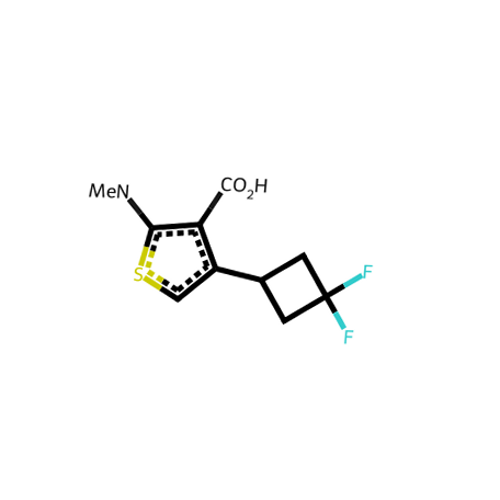 CNc1scc(C2CC(F)(F)C2)c1C(=O)O